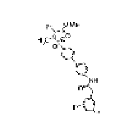 COC(=O)[C@H](C(C)C)N(C)S(=O)(=O)c1ccc(-c2ccc(NC(=O)Cc3cc(F)cc(F)c3)cc2)cc1